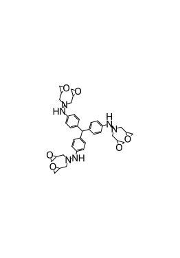 c1cc(C(c2ccc(NN(CC3CO3)CC3CO3)cc2)c2ccc(NN(CC3CO3)CC3CO3)cc2)ccc1NN(CC1CO1)CC1CO1